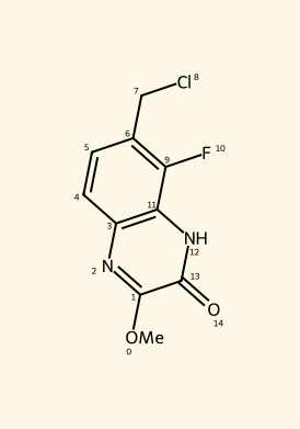 COc1nc2ccc(CCl)c(F)c2[nH]c1=O